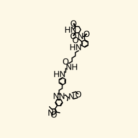 Cc1noc(C)c1-c1ccc2c(c1)nc(CCc1ccc(NCCNC(=O)CCCCCNc3cccc4c3C(=O)N(C3CCC(=O)NC3=O)C4=O)cc1)n2CC(C)N1CCOCC1